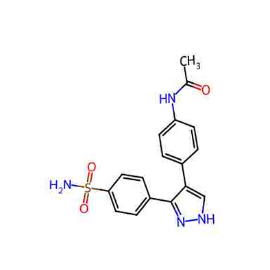 CC(=O)Nc1ccc(-c2c[nH]nc2-c2ccc(S(N)(=O)=O)cc2)cc1